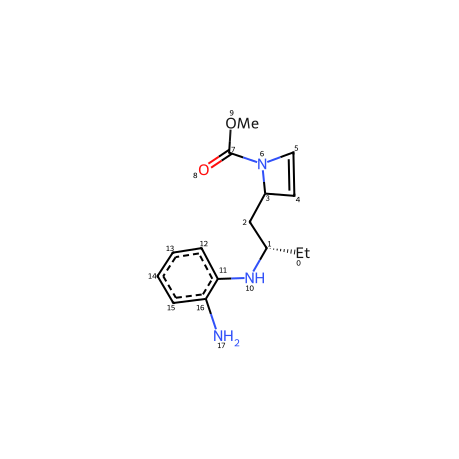 CC[C@@H](CC1C=CN1C(=O)OC)Nc1ccccc1N